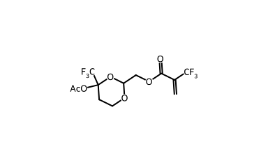 C=C(C(=O)OCC1OCCC(OC(C)=O)(C(F)(F)F)O1)C(F)(F)F